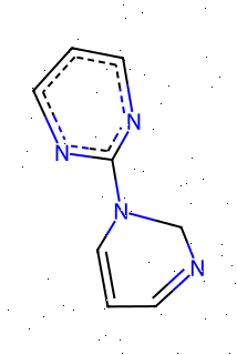 C1=CN(c2ncccn2)CN=C1